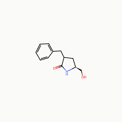 O=C1N[C@H](CO)CC1Cc1ccccc1